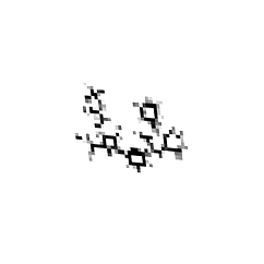 COC(=O)c1sc(-c2cccc(N(CC3CCCCC3)C(=O)Nc3ccccc3)c2)c(C)c1OCC(=O)OC(C)(C)C